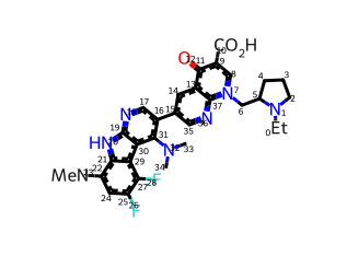 CCN1CCCC1Cn1cc(C(=O)O)c(=O)c2cc(-c3cnc4[nH]c5c(NC)cc(F)c(F)c5c4c3N(C)C)cnc21